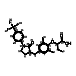 CCC(Oc1c(C)cc(CN2CCN(c3ccc(C(F)(F)F)cc3)C2=O)cc1C)C(=O)O